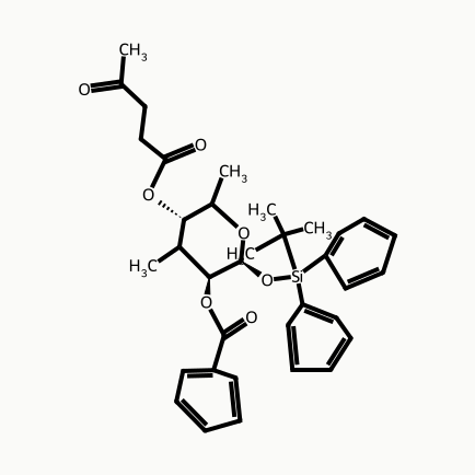 CC(=O)CCC(=O)O[C@@H]1C(C)O[C@@H](O[Si](c2ccccc2)(c2ccccc2)C(C)(C)C)[C@@H](OC(=O)c2ccccc2)C1C